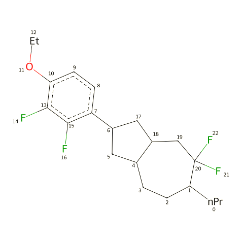 CCCC1CCC2CC(c3ccc(OCC)c(F)c3F)CC2CC1(F)F